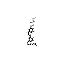 CN1CCCc2cc(-c3ccc4cc(OCCCOF)ccc4n3)ccc21